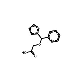 O=C(O)COC(c1ccccc1)c1ccco1